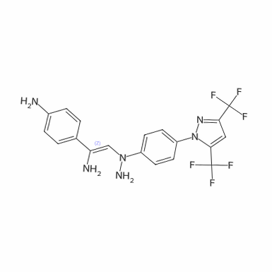 N/C(=C\N(N)c1ccc(-n2nc(C(F)(F)F)cc2C(F)(F)F)cc1)c1ccc(N)cc1